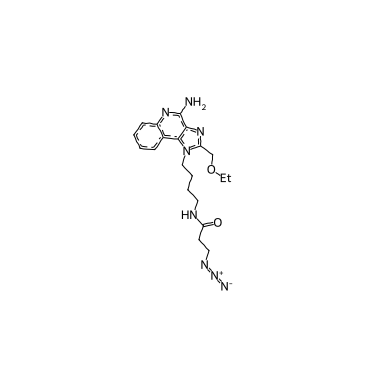 CCOCc1nc2c(N)nc3ccccc3c2n1CCCCNC(=O)CCN=[N+]=[N-]